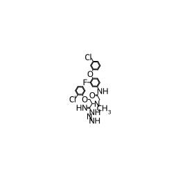 CN(CC(=O)Nc1ccc(Oc2cccc(Cl)c2)c(F)c1)C(COc1ccccc1Cl)C(=N)NN=N